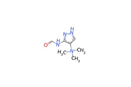 C[N+](C)(C)c1c[nH]nc1NC=O